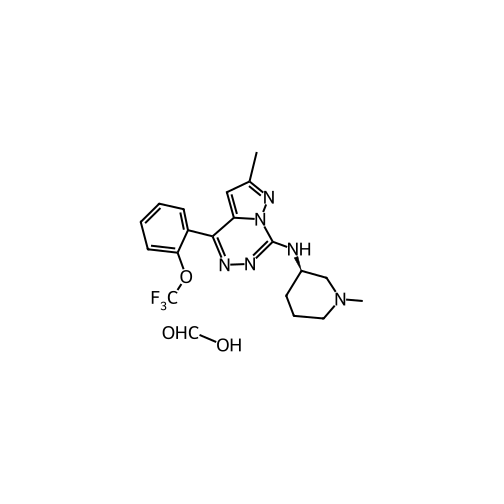 Cc1cc2c(-c3ccccc3OC(F)(F)F)nnc(N[C@@H]3CCCN(C)C3)n2n1.O=CO